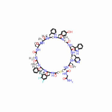 CCCC[C@H]1C(=O)N(C)CC(=O)N[C@@H](CC(=O)O)C(=O)N[C@@H](C(C)C)C(=O)N(C)[C@@H](Cc2ccccc2)CN[C@@H](Cc2ccc(O)cc2)C(=O)N(C)CC(=O)N[C@@H](Cc2c[nH]c3ccccc23)C(=O)N[C@@H](Cc2ccncc2)CN[C@@H](CC(C)C)C(=O)N[C@H](C(=O)NCC(N)=O)CSCC(=O)N[C@@H](Cc2cc(F)c(F)c(F)c2)C(=O)N(C)[C@@H](Cc2ccccc2)C(=O)N1C